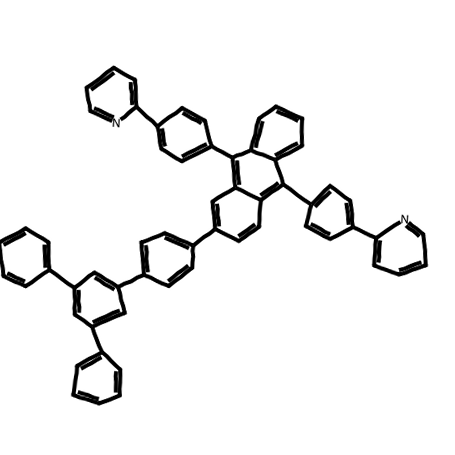 c1ccc(-c2cc(-c3ccccc3)cc(-c3ccc(-c4ccc5c(-c6ccc(-c7ccccn7)cc6)c6ccccc6c(-c6ccc(-c7ccccn7)cc6)c5c4)cc3)c2)cc1